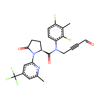 Cc1cc(C(F)(F)F)cc(N2C(=O)CC[C@H]2C(=O)N(CC#CC=O)c2ccc(F)c(C)c2F)n1